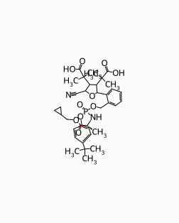 C[C@H](NP(=O)(OCc1ccccc1C1OC(C#N)C(C(C)(C)C(=O)O)C1C(C)(C)C(=O)O)Oc1ccc(C(C)(C)C)cc1)C(=O)OCC1CC1